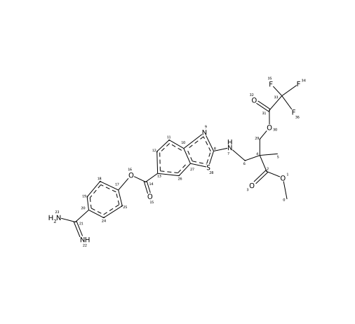 COC(=O)C(C)(CNc1nc2ccc(C(=O)Oc3ccc(C(=N)N)cc3)cc2s1)COC(=O)C(F)(F)F